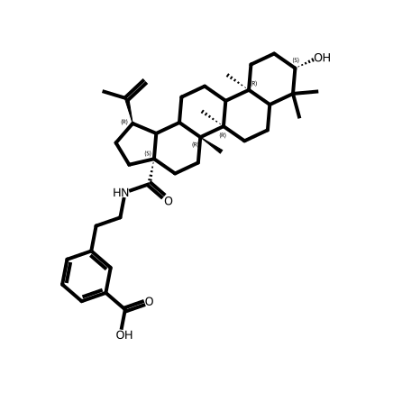 C=C(C)[C@@H]1CC[C@]2(C(=O)NCCc3cccc(C(=O)O)c3)CC[C@]3(C)C(CCC4[C@@]5(C)CC[C@H](O)C(C)(C)C5CC[C@]43C)C12